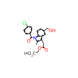 Cc1c(CC(=O)OCC(=O)O)c2cc(CO)ccc2n1C(=O)c1ccc(Cl)cc1